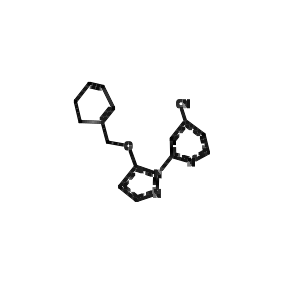 N#Cc1ccnc(-n2nccc2OCC2=CC=CCC2)c1